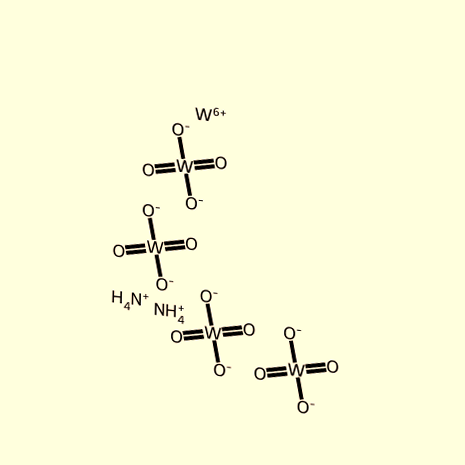 [NH4+].[NH4+].[O]=[W](=[O])([O-])[O-].[O]=[W](=[O])([O-])[O-].[O]=[W](=[O])([O-])[O-].[O]=[W](=[O])([O-])[O-].[W+6]